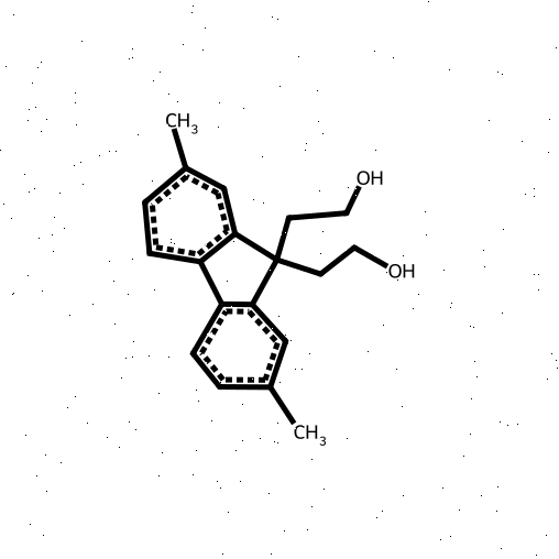 Cc1ccc2c(c1)C(CCO)(CCO)c1cc(C)ccc1-2